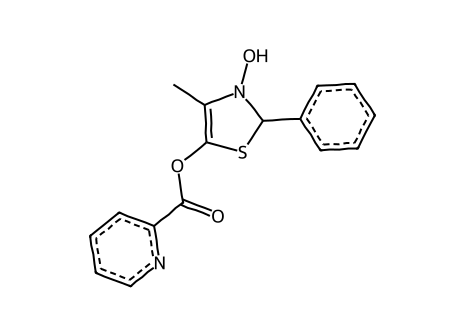 CC1=C(OC(=O)c2ccccn2)SC(c2ccccc2)N1O